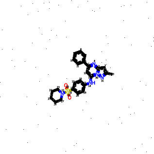 Cc1cc2nc(-c3ccccc3)cc(Nc3ccc(S(=O)(=O)N4CCCCC4)cc3)n2n1